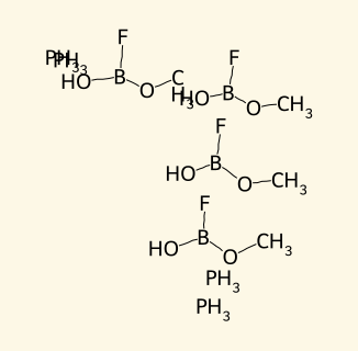 COB(O)F.COB(O)F.COB(O)F.COB(O)F.P.P.P.P